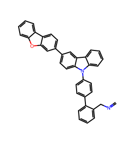 C=NCc1ccccc1-c1ccc(-n2c3ccccc3c3cc(-c4ccc5c(c4)oc4ccccc45)ccc32)cc1